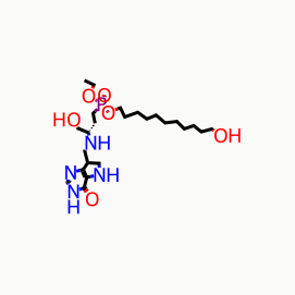 CCOP(=O)(CC[C@@H](CO)NCC1CNc2c1nc[nH]c2=O)OCCCCCCCCCCCO